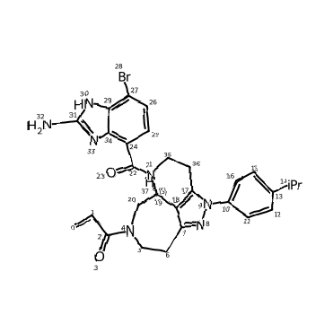 C=CC(=O)N1CCc2nn(-c3ccc(C(C)C)cc3)c3c2[C@@H](C1)N(C(=O)c1ccc(Br)c2[nH]c(N)nc12)CC3